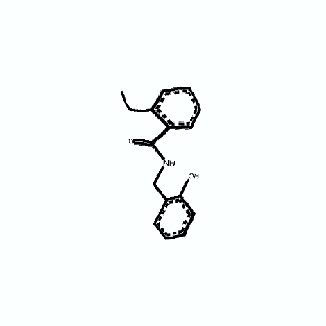 CCc1ccccc1C(=O)NCc1ccccc1O